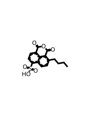 CCCCc1ccc2c(S(=O)(=O)O)ccc3c2c1C(=O)OC3=O